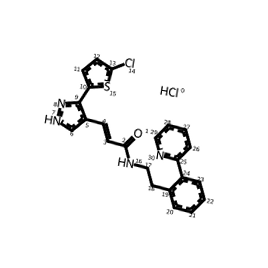 Cl.O=C(C=Cc1c[nH]nc1-c1ccc(Cl)s1)NCCc1ccccc1-c1ccccn1